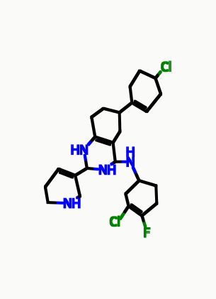 FC1=C(Cl)CC(NC2NC(C3=CCCNC3)NC3=C2CC(C2=CCC(Cl)CC2)CC3)CC1